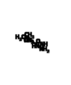 CC(C)(C)CNCCC(=O)NC(=N)N